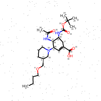 CCCCOC[C@H]1CCCN([C@@H]2C=C(C(=O)O)C[C@H](NC(=O)OC(C)(C)C)[C@@H]2NC(C)=O)C1